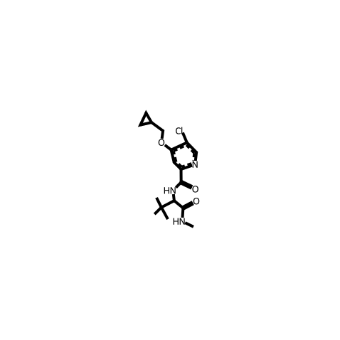 CNC(=O)C(NC(=O)c1cc(OCC2CC2)c(Cl)cn1)C(C)(C)C